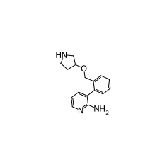 Nc1ncccc1-c1ccccc1COC1CCNC1